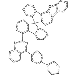 c1ccc(-c2ccc(-c3nc(-c4cccc5c4-c4ccccc4C54c5ccccc5-c5c4ccc4c5oc5ccccc54)nc4ccccc34)cc2)cc1